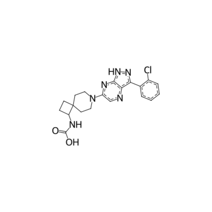 O=C(O)NC1CCC12CCN(c1cnc3c(-c4ccccc4Cl)n[nH]c3n1)CC2